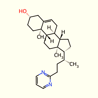 C[C@H](CCc1ncccn1)[C@H]1CC[C@H]2[C@@H]3CC=C4C[C@@H](O)CC[C@]4(C)[C@H]3CC[C@]12C